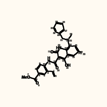 C=Cc1cc(C(=O)OC)ccc1NC(=O)c1c(O)c2cc(F)cc(N(C)Cc3ccccc3)c2[nH]c1=O